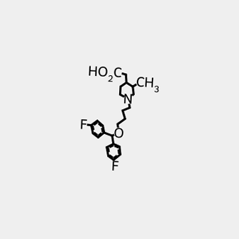 CC1CN(CCCCOC(c2ccc(F)cc2)c2ccc(F)cc2)CCC1CC(=O)O